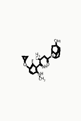 CNc1ccc(OC2CC2)c(F)c1C(=N)C(C)CC(=O)N1C2CC3CC1CC(O)(C3)C2